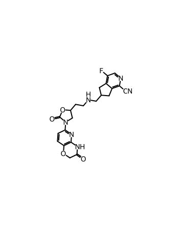 N#Cc1ncc(F)c2c1CC(CNCCC1CN(c3ccc4c(n3)NC(=O)CO4)C(=O)O1)C2